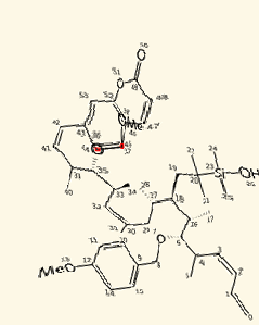 C=C/C=C\C(C)[C@H](OCc1ccc(OC)cc1)[C@@H](C)[C@H](CC(C)(C)[Si](C)(C)O)[C@@H](C)C/C(C)=C\[C@H](C)[C@@H](OCOC)C(C)/C=C\c1ccc2ccc(=O)oc2c1